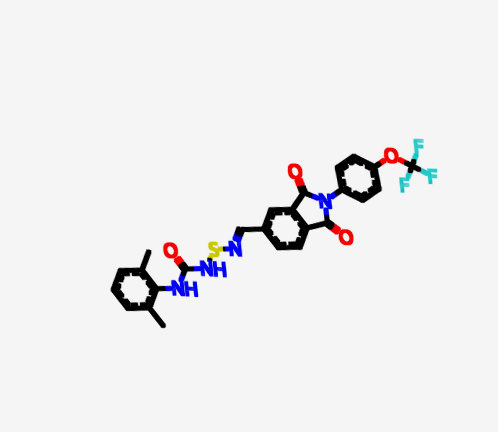 Cc1cccc(C)c1NC(=O)NS/N=C/c1ccc2c(c1)C(=O)N(c1ccc(OC(F)(F)F)cc1)C2=O